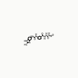 O=NNC(=O)NNC(=O)c1cccc(NC(=O)Nc2ccc3[nH]c(S)nc3c2)c1